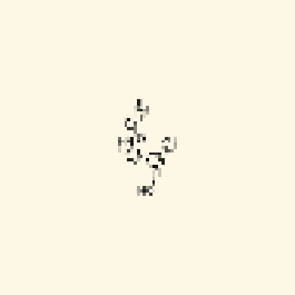 Cc1cc(F)c(NC(=O)N2CC[C@@H](SC(F)(F)F)C2)cc1-c1cc(OCCO)nc(N2CCOCC2)c1